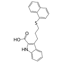 O=C(O)c1[nH]c2ccccc2c1CCCSc1cccc2ccccc12